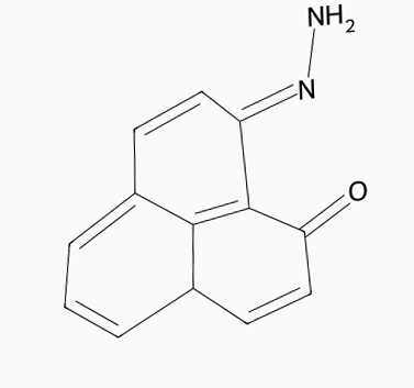 NN=C1C=CC2=CC=CC3C=CC(=O)C1=C23